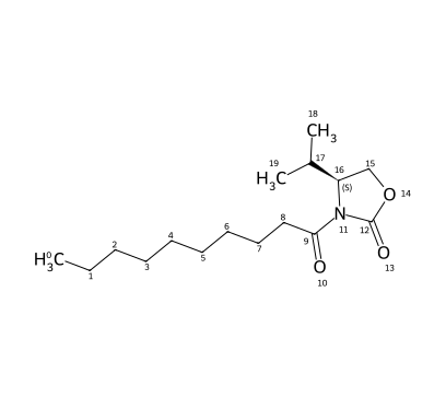 CCCCCCCCCC(=O)N1C(=O)OC[C@@H]1C(C)C